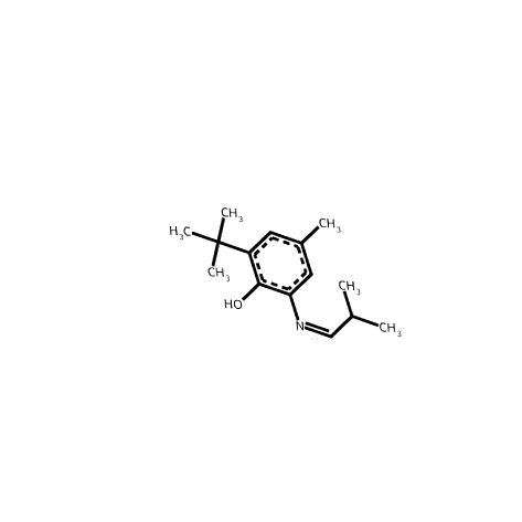 Cc1cc(/N=C\C(C)C)c(O)c(C(C)(C)C)c1